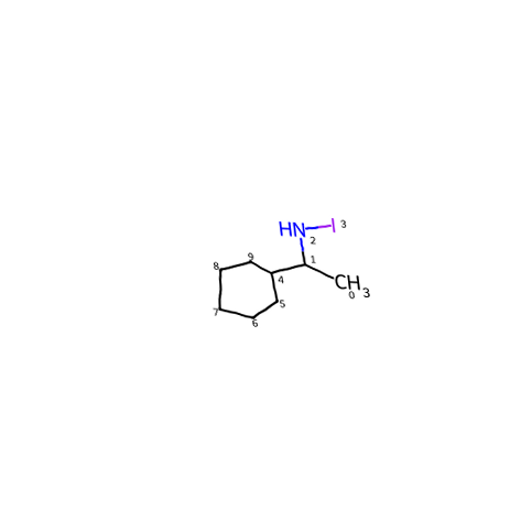 CC(NI)C1CCCCC1